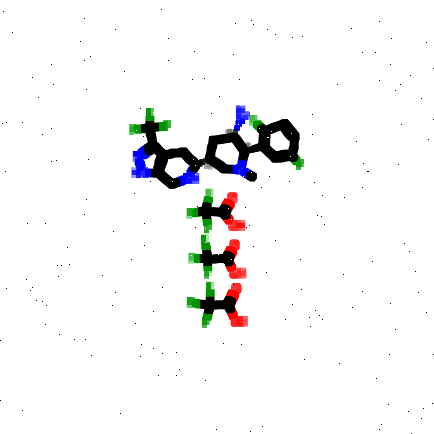 CN1C[C@H](C2Cc3c(C(F)(F)F)n[nH]c3CN2)C[C@H](N)[C@H]1c1cc(F)ccc1F.O=C(O)C(F)(F)F.O=C(O)C(F)(F)F.O=C(O)C(F)(F)F